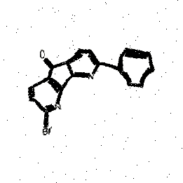 O=C1c2ccc(Br)nc2-c2nc(-c3ccccc3)ccc21